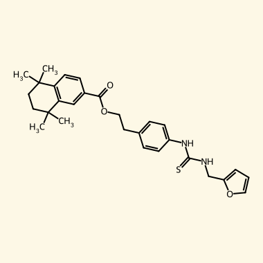 CC1(C)CCC(C)(C)c2cc(C(=O)OCCc3ccc(NC(=S)NCc4ccco4)cc3)ccc21